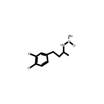 CC(CCc1ccc(Cl)c(Cl)c1)N[S@@+]([O-])C(C)(C)C